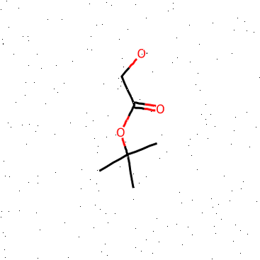 CC(C)(C)OC(=O)C[O]